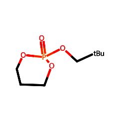 CC(C)(C)COP1(=O)OCCCO1